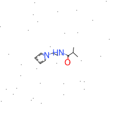 CC(C)C(=O)NCCn1cccc1